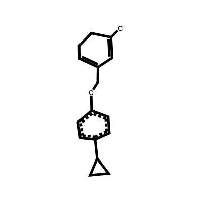 ClC1=CC(COc2ccc(C3CC3)cc2)=CCC1